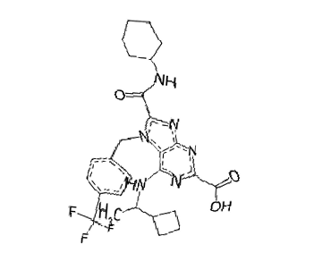 CC(Nc1nc(C(=O)O)nc2nc(C(=O)NC3CCCCC3)n(Cc3ccc(C(F)(F)F)cc3)c12)C1CCC1